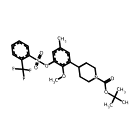 COc1c(OS(=O)(=O)c2ccccc2C(F)(F)F)cc(C)cc1C1CCN(C(=O)OC(C)(C)C)CC1